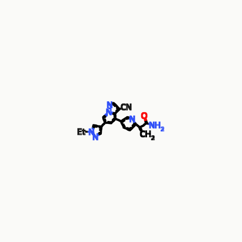 C=C(C(N)=O)c1ccc(-c2cc(-c3cnn(CC)c3)cn3ncc(C#N)c23)cn1